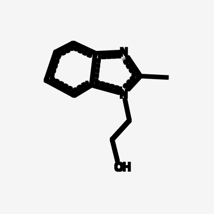 Cc1nc2ccccc2n1CCO